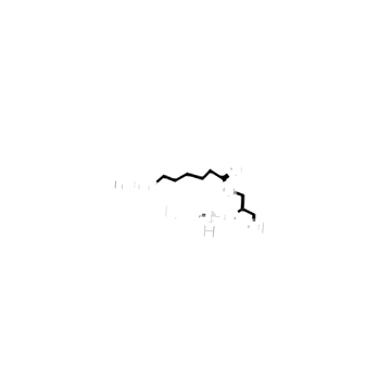 CCCCCCCCCCCCCCCC(=O)OCC(O)CO.O=S(=O)(O)O